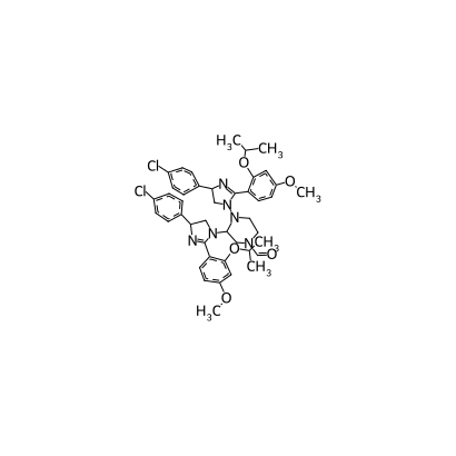 COc1ccc(C2=NC(c3ccc(Cl)cc3)CN2C2CN(C=O)CCN2N2CC(c3ccc(Cl)cc3)N=C2c2ccc(OC)cc2OC(C)C)c(OC(C)C)c1